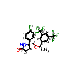 C[C@@H](OC[C@@]1(c2ccc(F)cc2)CCC(=O)N1)c1cc(C(F)(F)F)cc(C(F)(F)F)c1